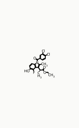 CCOC(=O)[C@@H](C)c1c(C)n(C(=O)c2ccc(Cl)c(Cl)c2)c2ccc(O)c(F)c12